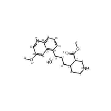 COC(=O)[C@H]1CNCC[C@H]1CC[C@H](O)c1cccc2ncc(OC)cc12